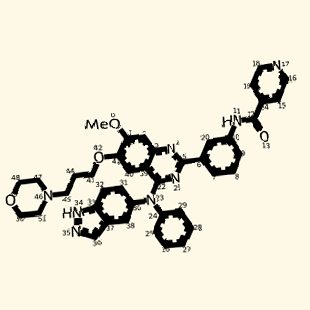 COc1cc2nc(-c3cccc(NC(=O)c4ccncc4)c3)nc(N(c3ccccc3)c3ccc4[nH]ncc4c3)c2cc1OCCCN1CCOCC1